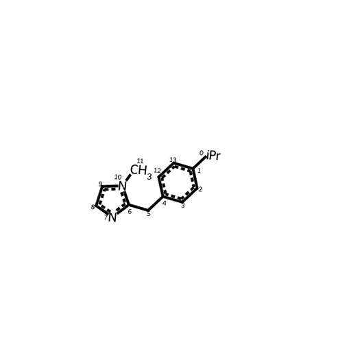 CC(C)c1ccc(Cc2nccn2C)cc1